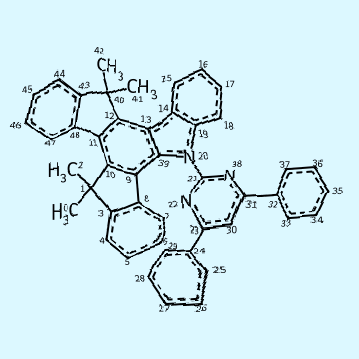 CC1(C)c2ccccc2-c2c1c1c(c3c4ccccc4n(-c4nc(-c5ccccc5)cc(-c5ccccc5)n4)c23)C(C)(C)c2ccccc2-1